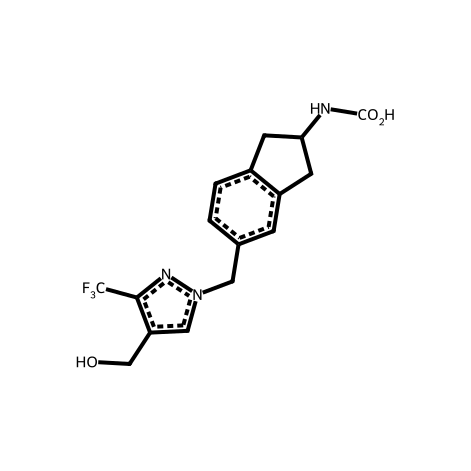 O=C(O)NC1Cc2ccc(Cn3cc(CO)c(C(F)(F)F)n3)cc2C1